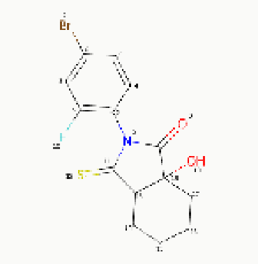 O=C1N(c2ccc(Br)cc2F)C(=S)C2CCCCC12O